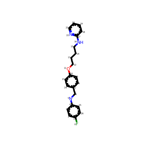 Fc1ccc([N]Cc2ccc(OCCCCNc3ccccn3)cc2)cc1